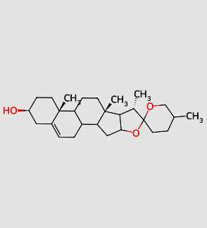 CC1CCC2(OC1)OC1CC3C4CC=C5C[C@@H](O)CC[C@]5(C)C4CC[C@]3(C)C1[C@@H]2C